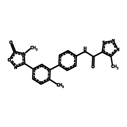 Cc1ccc(-c2noc(=O)n2C)cc1-c1ccc(NC(=O)c2snnc2C)cc1